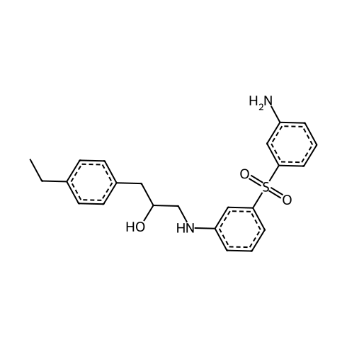 CCc1ccc(CC(O)CNc2cccc(S(=O)(=O)c3cccc(N)c3)c2)cc1